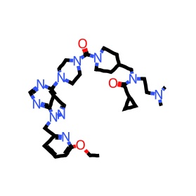 CCOc1cccc(Cn2ncc3c(N4CCN(C(=O)N5CCC(CN(CCN(C)C)C(=O)C6CC6)CC5)CC4)ncnc32)n1